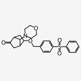 O=C1CC2C(OCc3ccc(S(=O)(=O)c4ccccc4)cc3)CC1C2N1CCOCC1